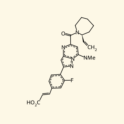 C=C[C@@H]1CCCCCN1C(=O)c1cc(NC)n2nc(-c3ccc(/C=C/C(=O)O)cc3F)cc2n1